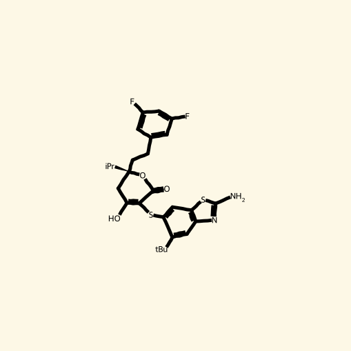 CC(C)[C@]1(CCc2cc(F)cc(F)c2)CC(O)=C(Sc2cc3sc(N)nc3cc2C(C)(C)C)C(=O)O1